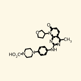 Cc1nc(Nc2ccc(N3CCN(C(=O)O)CC3)cc2)nc2c1ccc(=O)n2C1CCOC1